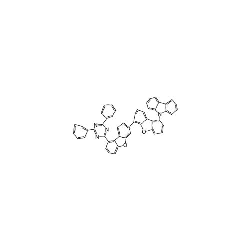 c1ccc(-c2nc(-c3ccccc3)nc(-c3cccc4oc5cc(-c6cccc7c6oc6cccc(-n8c9ccccc9c9ccccc98)c67)ccc5c34)n2)cc1